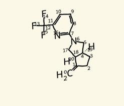 C=C1CC[C@@H]2CN(c3cccc(C(F)(F)F)n3)C[C@H]12